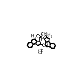 CC1=Cc2c(ccc3ccccc23)[CH]1[Hf+2]([CH]1C(C)=Cc2c1ccc1ccccc21)=[Si](C)C.[Cl-].[Cl-]